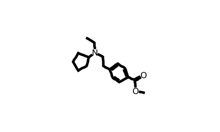 CCN(CCc1ccc(C(=O)OC)cc1)C1CCCC1